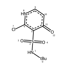 CC(C)(C)NS(=O)(=O)c1c(Cl)[nH]ccc1=O